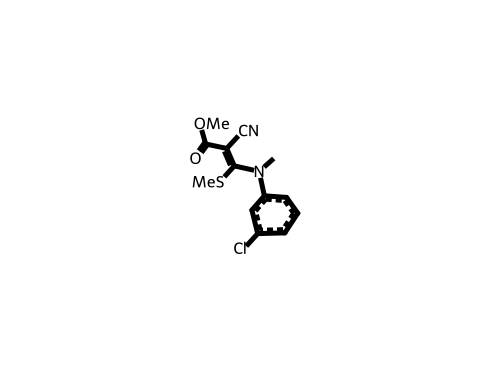 COC(=O)/C(C#N)=C(\SC)N(C)c1cccc(Cl)c1